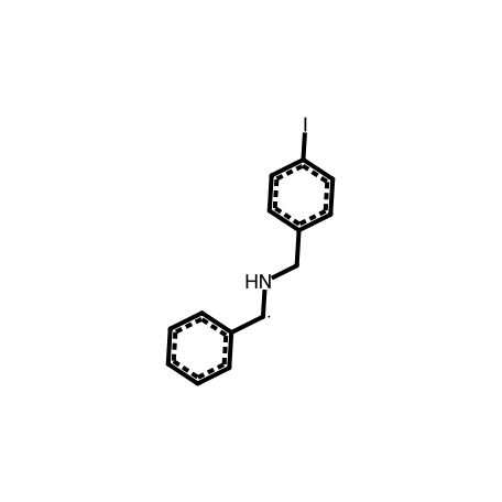 Ic1ccc(CN[CH]c2ccccc2)cc1